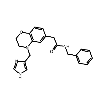 O=C(Cc1ccc2c(c1)N(Cc1c[nH]cn1)CCO2)NCc1ccccc1